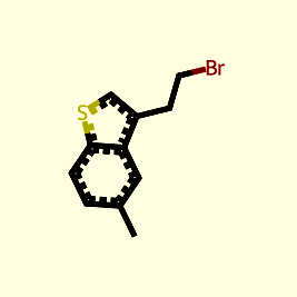 Cc1ccc2scc(CCBr)c2c1